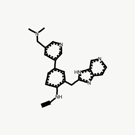 C#CNc1ccc(-c2cncc(CN(C)C)c2)cc1Cc1nc2ccncc2[nH]1